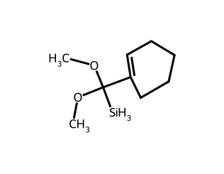 COC([SiH3])(OC)C1=CCCCC1